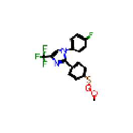 COOSc1ccc(-c2nc(C(F)(F)F)cn2-c2ccc(F)cc2)cc1